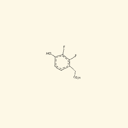 O=C(O)Cc1ccc(O)c(F)c1F